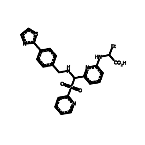 CCC(Nc1cccc(C(NCc2ccc(-c3nccs3)cc2)S(=O)(=O)c2ccccn2)n1)C(=O)O